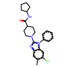 Cc1cc2nc(N3CCC(C(=O)NC4CCCC4)CC3)n(-c3ccccc3)c2cc1Cl